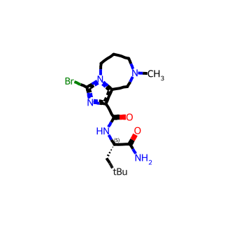 CN1CCCn2c(Br)nc(C(=O)N[C@@H](CC(C)(C)C)C(N)=O)c2C1